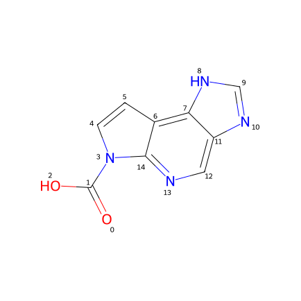 O=C(O)n1ccc2c3[nH]cnc3cnc21